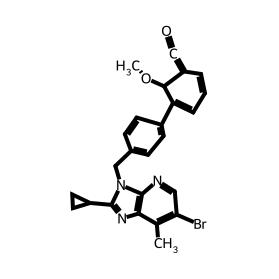 COC1C(=C=O)C=CC=C1c1ccc(Cn2c(C3CC3)nc3c(C)c(Br)cnc32)cc1